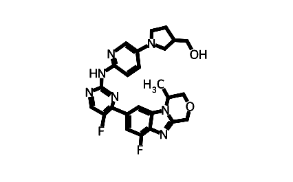 CC1COCc2nc3c(F)cc(-c4nc(Nc5ccc(N6CCC(CO)C6)cn5)ncc4F)cc3n21